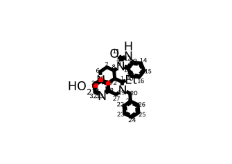 CCC(C1CN(C(=O)O)CCC1n1c(=O)[nH]c2ccccc21)N(Cc1ccccc1)Cc1ccccn1